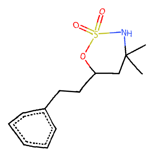 CC1(C)CC(CCc2ccccc2)OS(=O)(=O)N1